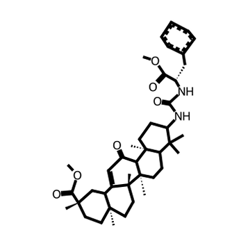 COC(=O)[C@H](Cc1ccccc1)NC(=O)NC1CC[C@@]2(C)C(CC[C@]3(C)C2C(=O)C=C2C4C[C@@](C)(C(=O)OC)CC[C@]4(C)CC[C@]23C)C1(C)C